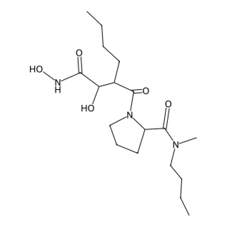 CCCCC(C(=O)N1CCCC1C(=O)N(C)CCCC)C(O)C(=O)NO